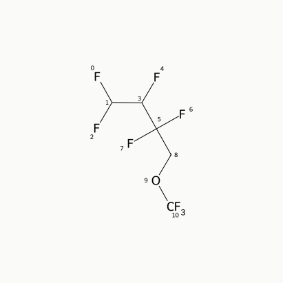 FC(F)C(F)C(F)(F)COC(F)(F)F